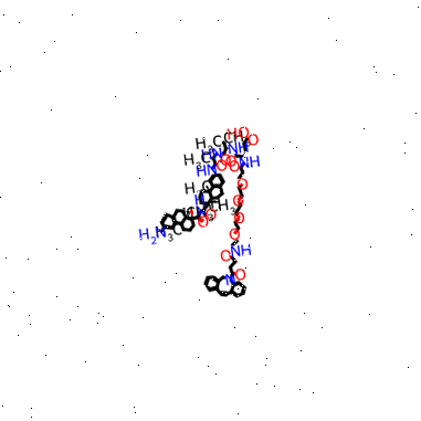 CC(C)[C@H](NC(=O)[C@H](CCC(=O)O)NC(=O)CCOCCOCCOCCOCCNC(=O)CCC(=O)N1Cc2ccccc2C#Cc2ccccc21)C(=O)N[C@@H](C)C(=O)Nc1ccc2c(c1)[C@@]1(C)CCC[C@](C)(C(=O)NC(=O)[C@@]3(C)CCC[C@]4(C)c5cc(N)ccc5CC[C@@H]34)[C@@H]1CC2